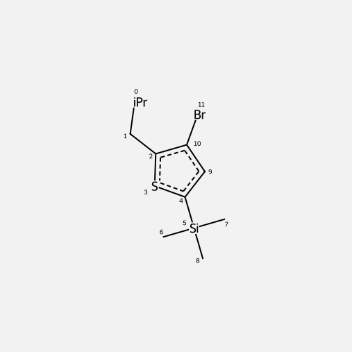 CC(C)Cc1sc([Si](C)(C)C)cc1Br